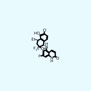 CC[C@@H]1C[C@@](O)(C(F)(F)F)[C@@H](Nc2cc(F)cc3[nH]c(=O)ccc23)c2ccc(Cl)c(O)c21